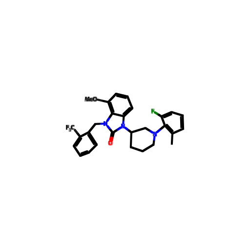 COc1cccc2c1n(Cc1ccccc1C(F)(F)F)c(=O)n2C1CCCN(c2c(C)cccc2F)C1